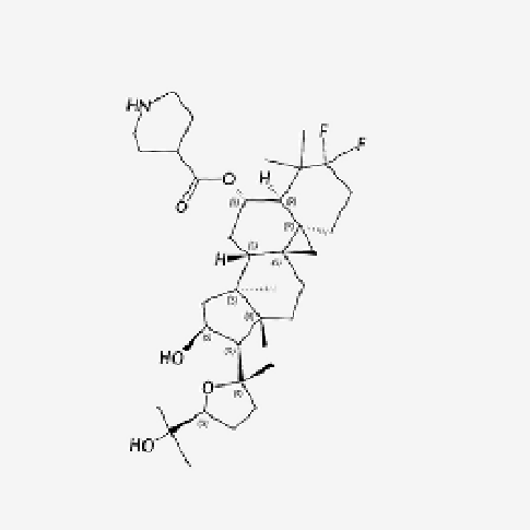 CC(C)(O)[C@@H]1CC[C@@](C)([C@H]2[C@@H](O)C[C@@]3(C)[C@@H]4C[C@H](OC(=O)C5CCNCC5)[C@H]5C(C)(C)C(F)(F)CC[C@@]56C[C@@]46CC[C@]23C)O1